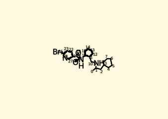 CC(CC1CCCCC1)NCc1ccccc1NS(=O)(=O)c1ccc(Br)nc1